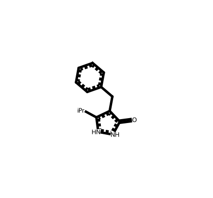 CC(C)c1[nH][nH]c(=O)c1Cc1c[c]ccc1